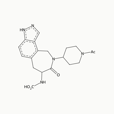 CC(=O)N1CCC(N2Cc3c(ccc4[nH]ncc34)CC(NC(=O)O)C2=O)CC1